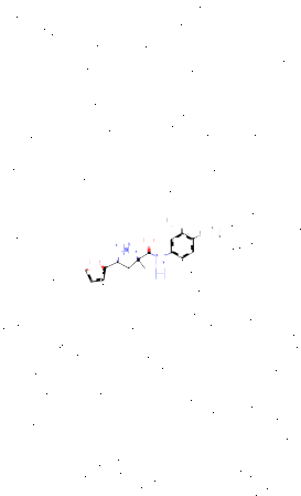 CC1(C(=O)Nc2ccc(C#N)c(C(F)(F)F)c2)CC(c2ccco2)N=N1